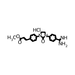 COC(=O)C=Cc1ccc(N2CCN(c3ccc(C(=N)N)cc3)C2=O)cc1.Cl